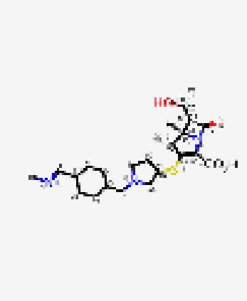 C/N=C/C1CCC(CN2CC[C@@H](SC3=C(C(=O)O)N4C(=O)[C@H]([C@@H](C)O)[C@H]4[C@H]3C)C2)CC1